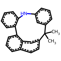 CC1(C)c2cccc(c2)Nc2ccccc2-c2cccc3ccc1cc23